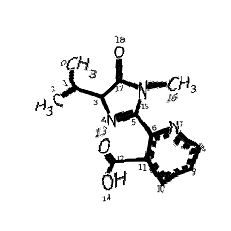 CC(C)C1N=C(c2ncccc2C(=O)O)N(C)C1=O